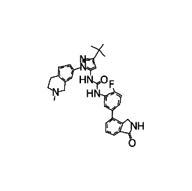 CN1CCc2ccc(-n3nc(C(C)(C)C)cc3NC(=O)Nc3cc(-c4cccc5c4CNC5=O)ccc3F)cc2C1